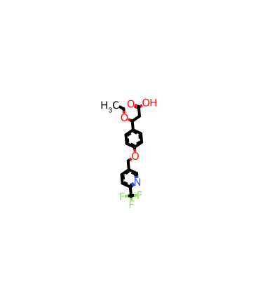 CCOC(CC(=O)O)c1ccc(OCc2ccc(C(F)(F)F)nc2)cc1